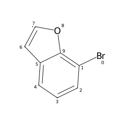 Brc1cccc2c[c]oc12